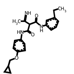 CCc1cccc(NC(=O)C(C(C)=N)C(=O)Nc2ccc(OCC3CC3)cc2)c1